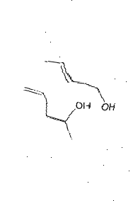 C=CCC(C)O.CC=CCO